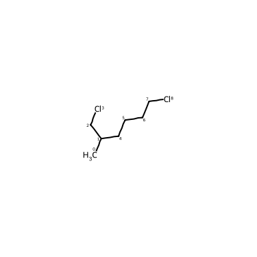 CC(CCl)CCCCCl